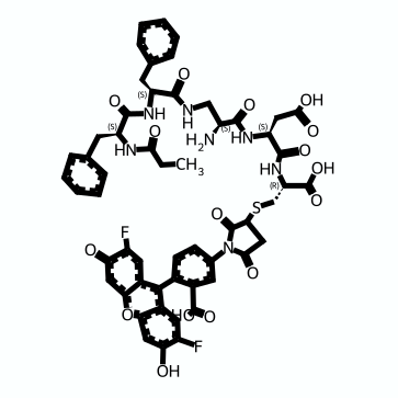 CCC(=O)N[C@@H](Cc1ccccc1)C(=O)N[C@@H](Cc1ccccc1)C(=O)NC[C@H](N)C(=O)N[C@@H](CC(=O)O)C(=O)N[C@@H](CSC1CC(=O)N(c2ccc(-c3c4cc(F)c(=O)cc-4oc4cc(O)c(F)cc34)c(C(=O)O)c2)C1=O)C(=O)O